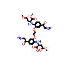 COC(=O)CC(Nc1ccc(C(=O)C=[N+]=[N-])cc1OCCOc1cc(C(=O)C=[N+]=[N-])ccc1NC(CC(=O)OC)C(=O)OC)C(=O)OC